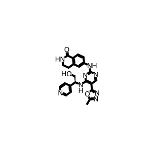 Cc1nnc(-c2cnc(Nc3ccc4c(c3)CCNC4=O)nc2N[C@H](CO)c2ccncc2)o1